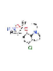 C=CC.CCC(ON)(Oc1ccc(Cl)c2cccnc12)C(=O)O